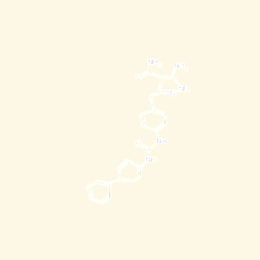 NC(=O)c1c(Cc2ccc(NC(=O)Nc3ccc(-c4ccccc4)cc3)cc2)n[nH]c1N